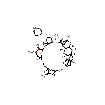 C=C1C[C@@H]2CC[C@@]34C[C@H]5O[C@H]6[C@@H](O3)[C@H]3O[C@H](CC[C@@H]3O[C@H]6[C@H]5O4)CC(=O)C[C@@H]3[C@@H](C)[C@@H](C[C@H]4CNCCO4)O[C@H]3C[C@H]3O[C@@H](CC[C@@H]1O2)C[C@@H](C)C3=C